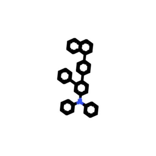 c1ccc(-c2cc(N(c3ccccc3)c3ccccc3)ccc2-c2ccc(-c3cccc4ccccc34)cc2)cc1